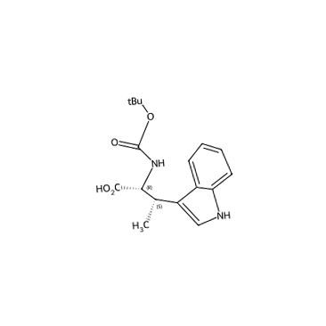 C[C@@H](c1c[nH]c2ccccc12)[C@@H](NC(=O)OC(C)(C)C)C(=O)O